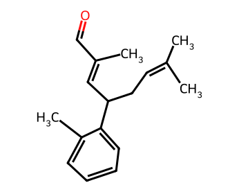 CC(C)=CCC(/C=C(\C)C=O)c1ccccc1C